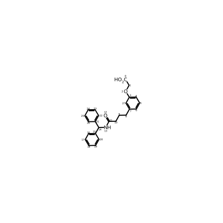 O=C(O)COc1cccc(CCCC(=O)NC(c2ccccc2)c2ccccc2)c1